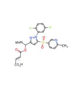 CNC(OC(=O)/C=C/C(=O)O)c1cc(S(=O)(=O)c2ccc(C)nc2)n(-c2cc(F)ccc2F)n1